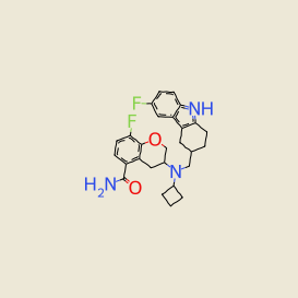 NC(=O)c1ccc(F)c2c1CC(N(CC1CCc3[nH]c4ccc(F)cc4c3C1)C1CCC1)CO2